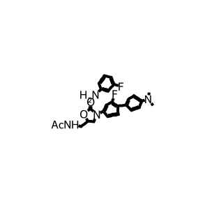 CC(=O)NCC1CN(c2ccc(-c3ccc(N(C)C)cc3)c(F)c2)C(=O)O1.Nc1cccc(F)c1